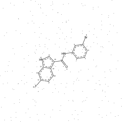 O=C(Nc1cccc(Br)c1)c1c[nH]c2cc(F)ccc12